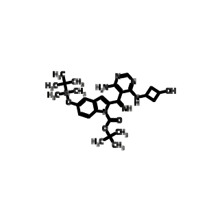 CC(C)(C)OC(=O)n1c(C(=N)c2c(N)ncnc2NC2CC(O)C2)cc2cc(O[Si](C)(C)C(C)(C)C)ccc21